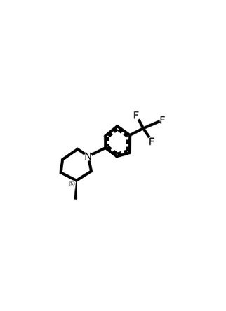 C[C@H]1CCCN(c2ccc(C(F)(F)F)cc2)C1